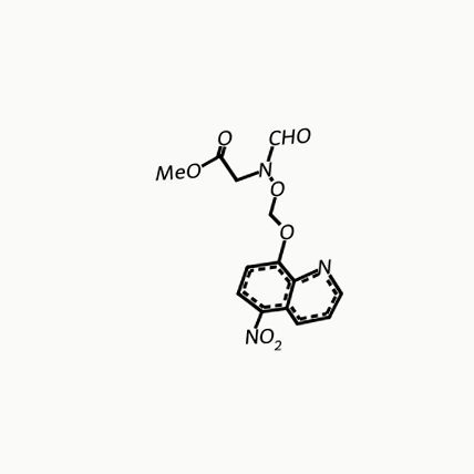 COC(=O)CN(C=O)OCOc1ccc([N+](=O)[O-])c2cccnc12